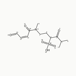 CC(C)C(=O)C(CCN(C)C(=O)/C=C\C=O)S(=O)(=O)O